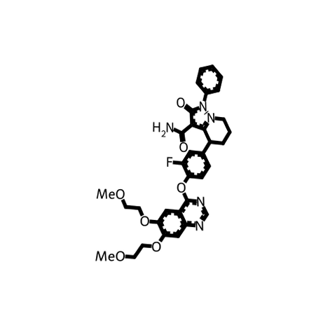 COCCOc1cc2ncnc(Oc3ccc(C4CCCn5c4c(C(N)=O)c(=O)n5-c4ccccc4)cc3F)c2cc1OCCOC